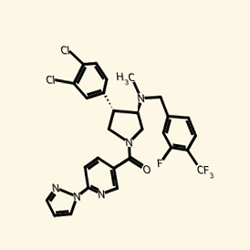 CN(Cc1ccc(C(F)(F)F)c(F)c1)[C@H]1CN(C(=O)c2ccc(-n3cccn3)nc2)C[C@@H]1c1ccc(Cl)c(Cl)c1